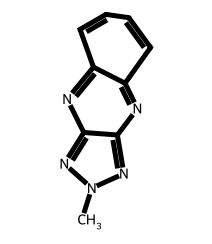 Cn1nc2nc3ccccc3nc2n1